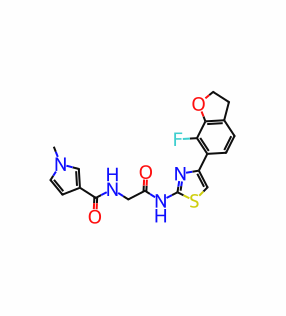 Cn1ccc(C(=O)NCC(=O)Nc2nc(-c3ccc4c(c3F)OCC4)cs2)c1